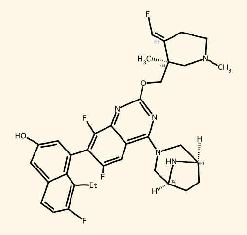 CCc1c(F)ccc2cc(O)cc(-c3c(F)cc4c(N5C[C@H]6CC[C@@H](C5)N6)nc(OC[C@]5(C)CN(C)CC/C5=C\F)nc4c3F)c12